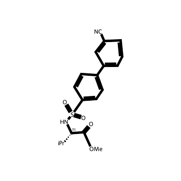 COC(=O)[C@@H](NS(=O)(=O)c1ccc(-c2cccc(C#N)c2)cc1)C(C)C